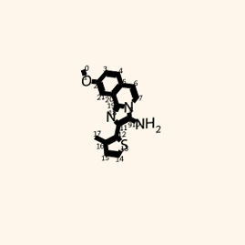 COc1ccc2ccn3c(N)c(-c4sccc4C)nc3c2c1